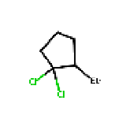 C[CH]C1CCCC1(Cl)Cl